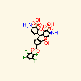 N=C1C=CC2=C(c3ccc(C(=O)Oc4c(F)c(F)cc(F)c4F)cc3C(=O)O)C3C=CC(N)=C(S(=O)(=O)O)C3OC2=C1S(=O)(=O)O